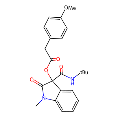 COc1ccc(CC(=O)OC2(C(=O)NC(C)(C)C)C(=O)N(C)c3ccccc32)cc1